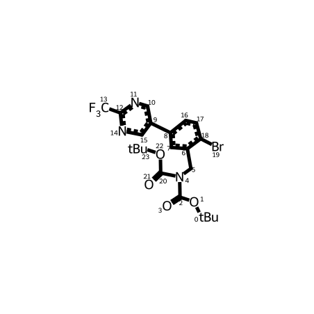 CC(C)(C)OC(=O)N(Cc1cc(-c2cnc(C(F)(F)F)nc2)ccc1Br)C(=O)OC(C)(C)C